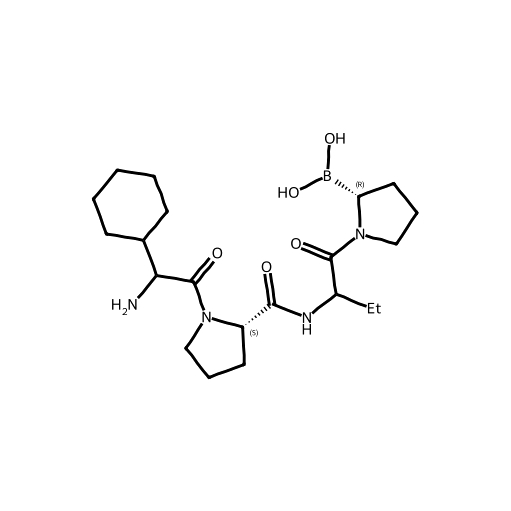 CCC(NC(=O)[C@@H]1CCCN1C(=O)C(N)C1CCCCC1)C(=O)N1CCC[C@H]1B(O)O